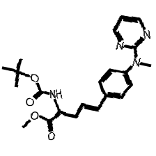 COC(=O)C(CC=Cc1ccc(N(C)c2ncccn2)cc1)NC(=O)OC(C)(C)C